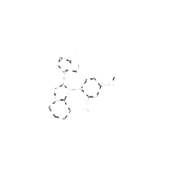 Cc1ccc(-c2nc3ccccc3n2-c2c([N+](=O)[O-])cc([N+](=O)[O-])cc2[N+](=O)[O-])o1